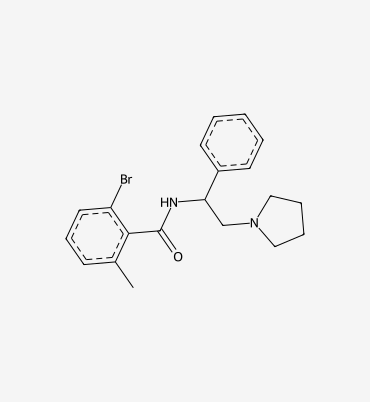 Cc1cccc(Br)c1C(=O)NC(CN1CCCC1)c1ccccc1